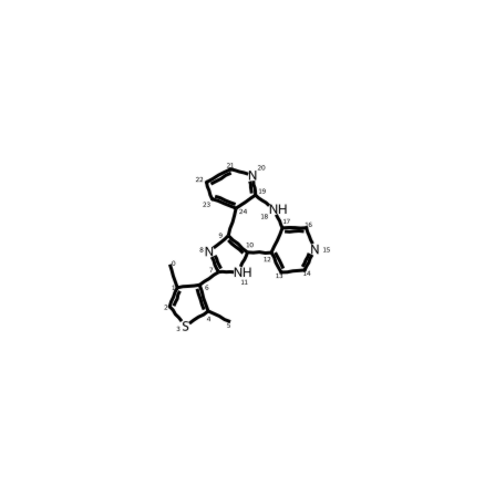 Cc1csc(C)c1-c1nc2c([nH]1)-c1ccncc1Nc1ncccc1-2